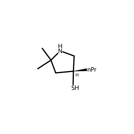 CCC[C@]1(S)CNC(C)(C)C1